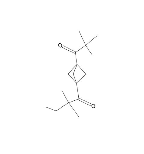 CCC(C)(C)C(=O)C12CC(C(=O)C(C)(C)C)(C1)C2